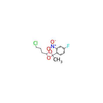 CC1(c2ccc(F)cc2[N+](=O)[O-])OC(CCCCl)O1